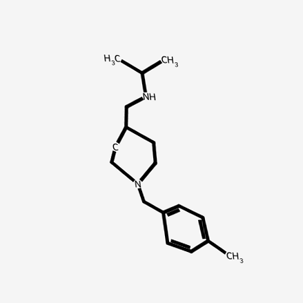 Cc1ccc(CN2CCC(CNC(C)C)CC2)cc1